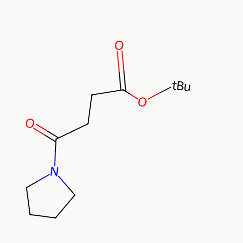 CC(C)(C)OC(=O)CCC(=O)N1CCCC1